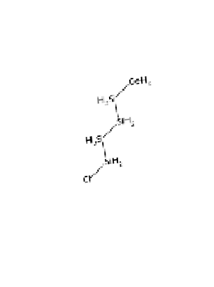 Cl[SiH2][SiH2][SiH2][SiH2][GeH3]